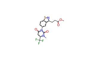 COC(=O)CCc1nsc2ccc(-n3c(=O)cc(C(F)(F)F)n(C)c3=O)cc12